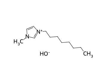 CCCCCCCC[n+]1ccn(C)c1.[OH-]